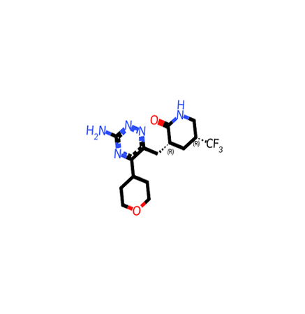 Nc1nnc(C[C@H]2C[C@@H](C(F)(F)F)CNC2=O)c(C2CCOCC2)n1